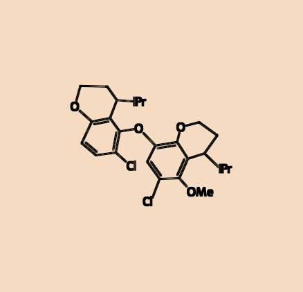 COc1c(Cl)cc(Oc2c(Cl)ccc3c2C(C(C)C)CCO3)c2c1C(C(C)C)CCO2